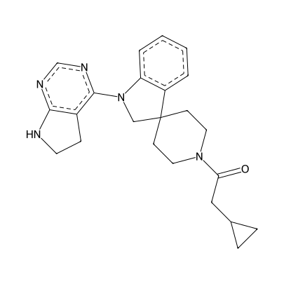 O=C(CC1CC1)N1CCC2(CC1)CN(c1ncnc3c1CCN3)c1ccccc12